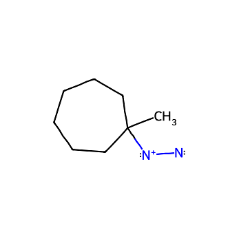 CC1([N+][N])CCCCCC1